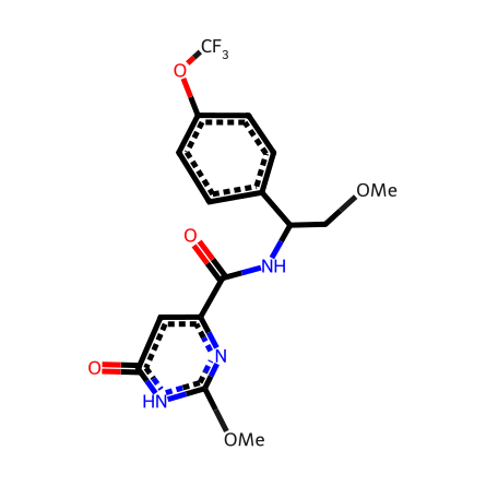 COCC(NC(=O)c1cc(=O)[nH]c(OC)n1)c1ccc(OC(F)(F)F)cc1